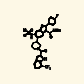 CCS(=O)(=O)Nc1cc2oc(-c3ccc(F)cc3)c(C(=O)NC)c2cc1[C@@H]1CCCN(C(=O)c2cc3cccc(C(F)(F)F)c3[nH]2)C1